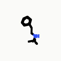 [CH3][Al]([CH3])[NH]CCc1ccccc1